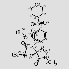 CN1N=C(c2ccc(S(=O)(=O)N3CCOCC3)cc2)C(C)(N(OC(=O)OC(C)(C)C)C(=O)OC(C)(C)C)C1=O